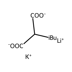 CCC(C)C(C(=O)[O-])C(=O)[O-].[K+].[Li+]